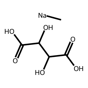 O=C(O)C(O)C(O)C(=O)O.[CH3][Na]